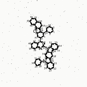 c1ccc(-c2cc(-c3nc(-n4c5ccccc5c5cc6c7ccccc7n(-c7ccccc7)c6cc54)nc4ccccc34)cc3oc4c5ccccc5ccc4c23)cc1